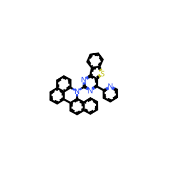 c1ccc(-c2nc(N3c4c(ccc5ccccc45)-c4cccc5cccc3c45)nc3c2sc2ccccc23)nc1